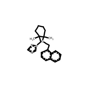 CC1(Cn2cncn2)CCCCC1(C)OCc1cccc2ccccc12